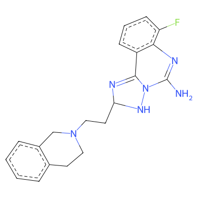 NC1=Nc2c(F)cccc2C2=NC(CCN3CCc4ccccc4C3)NN12